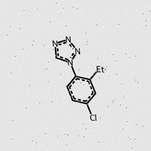 C[CH]c1cc(Cl)ccc1-n1cnnn1